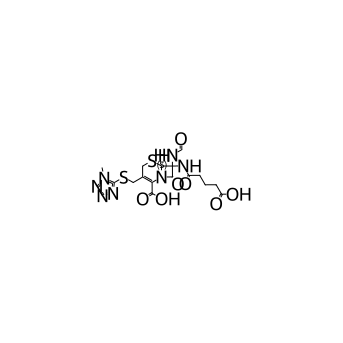 Cn1nnnc1SCC1=C(C(=O)O)N2C(=O)C(NC=O)(NC(=O)CCCC(=O)O)[C@@H]2SC1